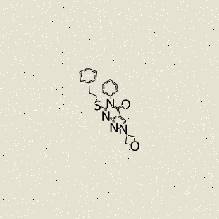 O=c1c2cn(C3COC3)nc2nc(SCCc2ccccc2)n1-c1ccccc1